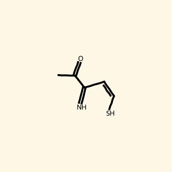 CC(=O)C(=N)/C=C\S